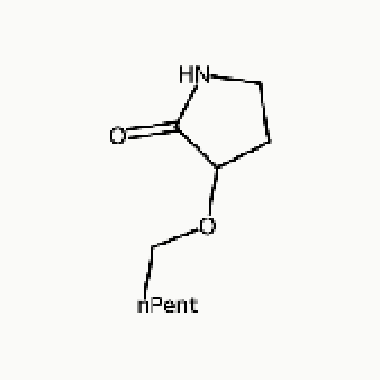 CCCCCCOC1CCNC1=O